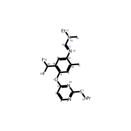 CCCSc1nccc(Oc2cc(C)c(/N=C/N(C)CC)cc2C(F)F)n1